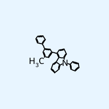 Cc1cc(-c2ccccc2)cc(-c2cccc3c2c2ccccc2n3-c2ccccc2)c1